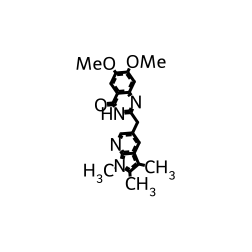 COc1cc2nc(Cc3cnc4c(c3)c(C)c(C)n4C)[nH]c(=O)c2cc1OC